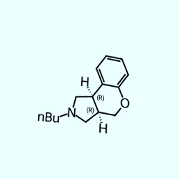 [CH2]CCCN1C[C@@H]2COc3ccccc3[C@@H]2C1